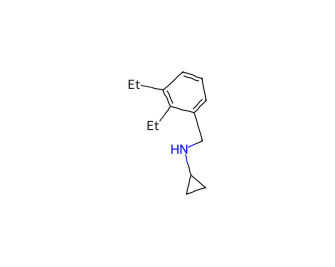 CCc1cccc(CNC2CC2)c1CC